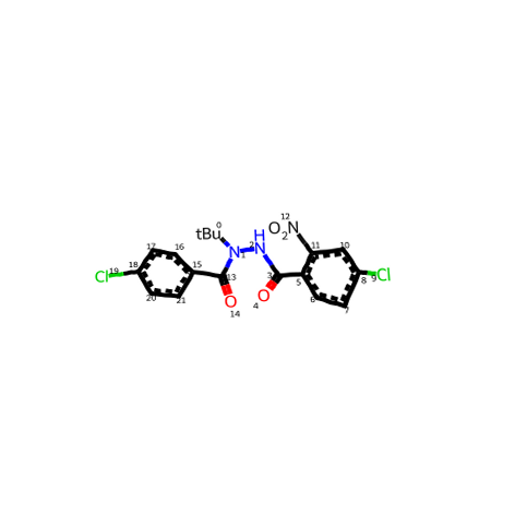 CC(C)(C)N(NC(=O)c1ccc(Cl)cc1[N+](=O)[O-])C(=O)c1ccc(Cl)cc1